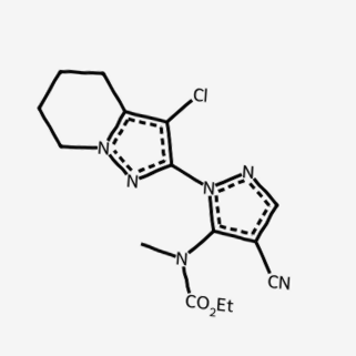 CCOC(=O)N(C)c1c(C#N)cnn1-c1nn2c(c1Cl)CCCC2